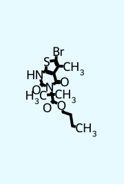 CCCCOC(=O)C(C)(C)n1c(=O)[nH]c2sc(Br)c(C)c2c1=O